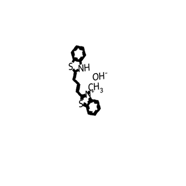 C[n+]1c(C=CC=C2Nc3ccccc3S2)sc2ccccc21.[OH-]